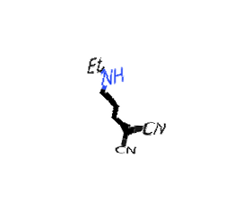 CCNC=CC=C(C#N)C#N